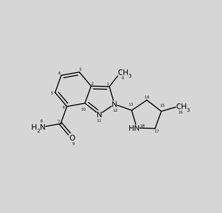 Cc1c2cccc(C(N)=O)c2nn1C1CC(C)CN1